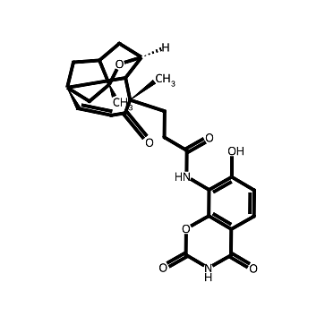 C[C@@]12C[C@@]34C=CC(=O)[C@@](C)(CCC(=O)Nc5c(O)ccc6c(=O)[nH]c(=O)oc56)C3[C@H](CC1C4)O2